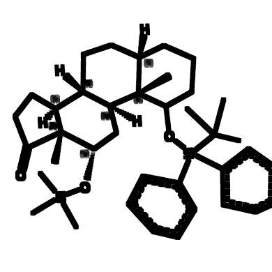 CC(C)(C)[Si](OC1CCC[C@H]2CC[C@H]3[C@@H]4CCC(=O)[C@@]4(C)[C@@H](O[Si](C)(C)C)C[C@@H]3[C@@]12C)(c1ccccc1)c1ccccc1